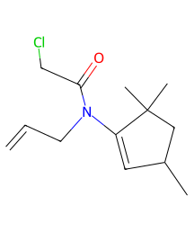 C=CCN(C(=O)CCl)C1=CC(C)CC1(C)C